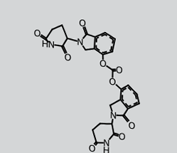 O=C1CCC(N2Cc3c(OC(=O)Oc4cccc5c4CN(C4CCC(=O)NC4=O)C5=O)cccc3C2=O)C(=O)N1